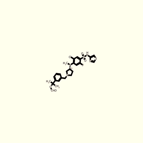 CN(c1cc(F)c(S(=O)(=O)Nc2cscn2)cc1Cl)[C@H]1CCN(Cc2cccc(C(C)(C)OC=O)c2)C1